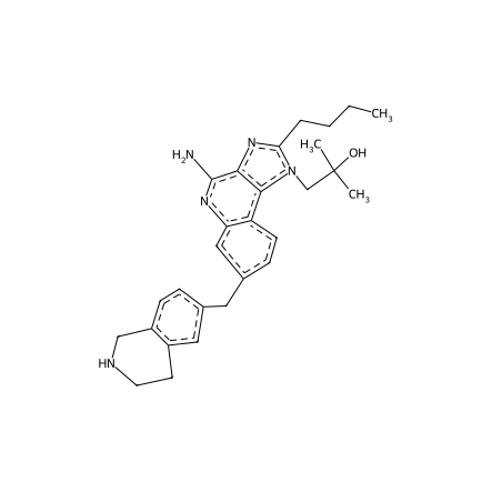 CCCCc1nc2c(N)nc3cc(Cc4ccc5c(c4)CCNC5)ccc3c2n1CC(C)(C)O